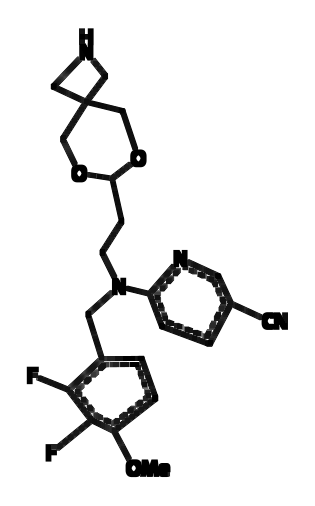 COc1ccc(CN(CCC2OCC3(CNC3)CO2)c2ccc(C#N)cn2)c(F)c1F